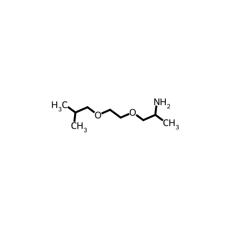 CC(C)COCCOCC(C)N